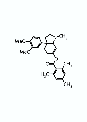 COc1ccc(C23CCC(OC(=O)c4c(C)cc(C)cc4C)=CC2N(C)CC3)cc1OC